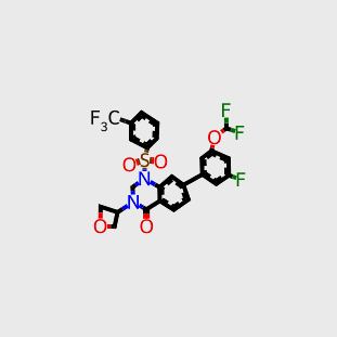 O=C1c2ccc(-c3cc(F)cc(OC(F)F)c3)cc2N(S(=O)(=O)c2cccc(C(F)(F)F)c2)CN1C1COC1